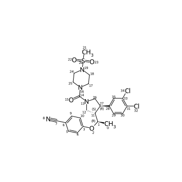 C[C@@H](Oc1ccc(C#N)cc1)[C@@H]1CN(C(=O)N2CCN(S(C)(=O)=O)CC2)C[C@H]1c1ccc(Cl)c(Cl)c1